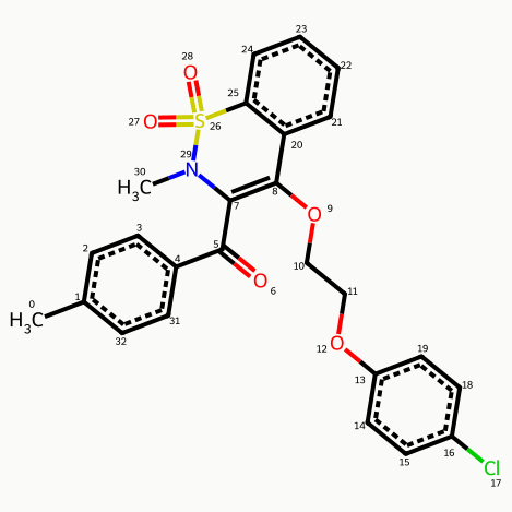 Cc1ccc(C(=O)C2=C(OCCOc3ccc(Cl)cc3)c3ccccc3S(=O)(=O)N2C)cc1